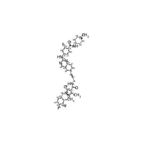 Cc1c(C(=O)NCC#Cc2ccc3nc(Nc4ccc(C(=O)NC5CCN(C)CC5)c(F)c4)ncc3c2)c(=O)n(Cc2ccc(F)c(F)c2)n1C